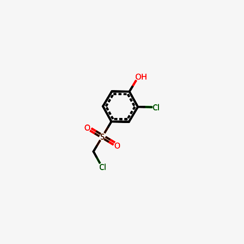 O=S(=O)(CCl)c1ccc(O)c(Cl)c1